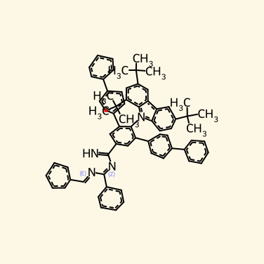 CC(C)(C)c1ccc2c(c1)c1cc(C(C)(C)C)cc(C(C)(C)C)c1n2-c1c(-c2ccc(-c3ccccc3)cc2)cc(C(=N)/N=C(\N=C\c2ccccc2)c2ccccc2)cc1-c1ccc(-c2ccccc2)cc1